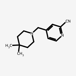 CC1(C)CCN(Cc2ccnc(C#N)c2)CC1